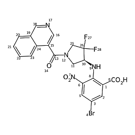 O=C(O)c1cc(Br)cc([N+](=O)[O-])c1N[C@H]1CN(C(=O)c2cncc3ccccc23)CC1(F)F